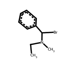 CCN(C)C(Br)c1ccccc1